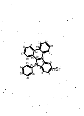 Brc1ccc2c(c1)c1c3ccccc3c3ccccc3c1n2-c1ccccc1